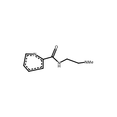 CNCCNC(=O)c1ccccn1